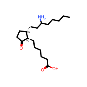 CCCCCC(N)CC[C@H]1CCC(=O)[C@@H]1CCCCCC(=O)O